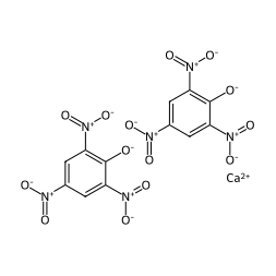 O=[N+]([O-])c1cc([N+](=O)[O-])c([O-])c([N+](=O)[O-])c1.O=[N+]([O-])c1cc([N+](=O)[O-])c([O-])c([N+](=O)[O-])c1.[Ca+2]